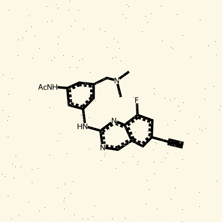 C#Cc1cc(F)c2nc(Nc3cc(CN(C)C)cc(NC(C)=O)c3)ncc2c1